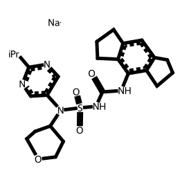 CC(C)c1ncc(N(C2CCOCC2)S(=O)(=O)NC(=O)Nc2c3c(cc4c2CCC4)CCC3)cn1.[Na]